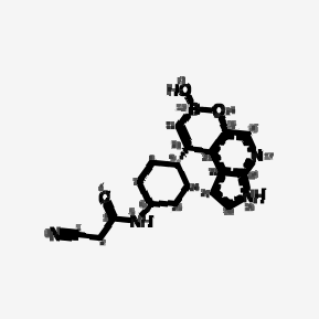 N#CCC(=O)N[C@H]1CC[C@H](C2=CB(O)Oc3cnc4[nH]ccc4c32)CC1